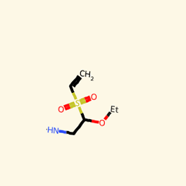 C=CS(=O)(=O)C(C[NH])OCC